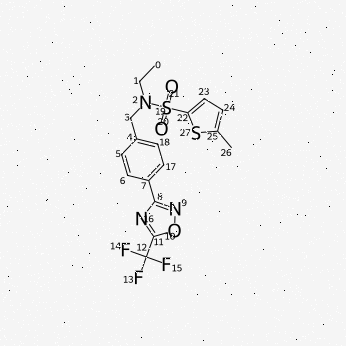 CCN(Cc1ccc(-c2noc(C(F)(F)F)n2)cc1)S(=O)(=O)c1ccc(C)s1